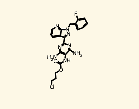 Nc1nc(-c2nn(Cc3ccccc3F)c3ncccc23)nc(N)c1NC(=O)OCCCCl